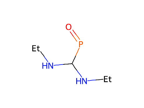 CCNC(NCC)P=O